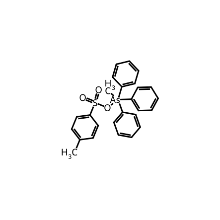 Cc1ccc(S(=O)(=O)O[As](C)(c2ccccc2)(c2ccccc2)c2ccccc2)cc1